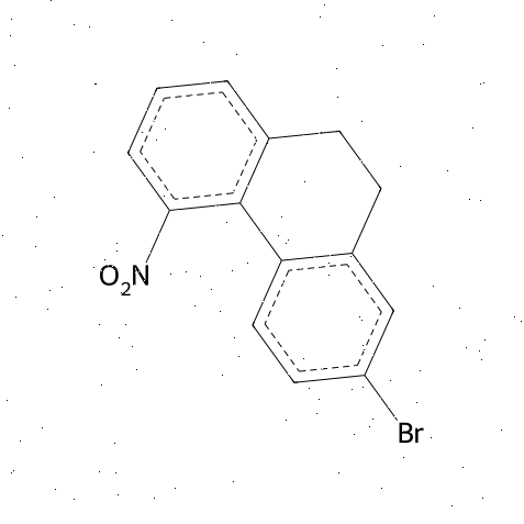 O=[N+]([O-])c1cccc2c1-c1ccc(Br)cc1CC2